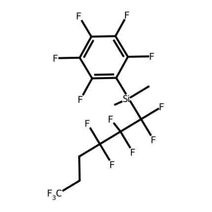 C[Si](C)(c1c(F)c(F)c(F)c(F)c1F)C(F)(F)C(F)(F)C(F)(F)CCC(F)(F)F